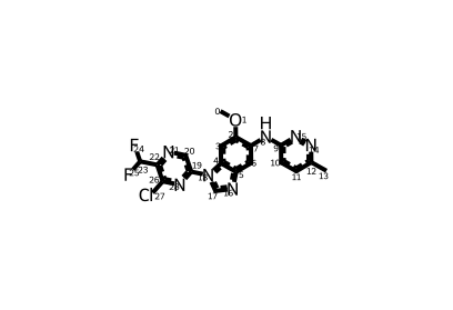 COc1cc2c(cc1Nc1ccc(C)nn1)ncn2-c1cnc(C(F)F)c(Cl)n1